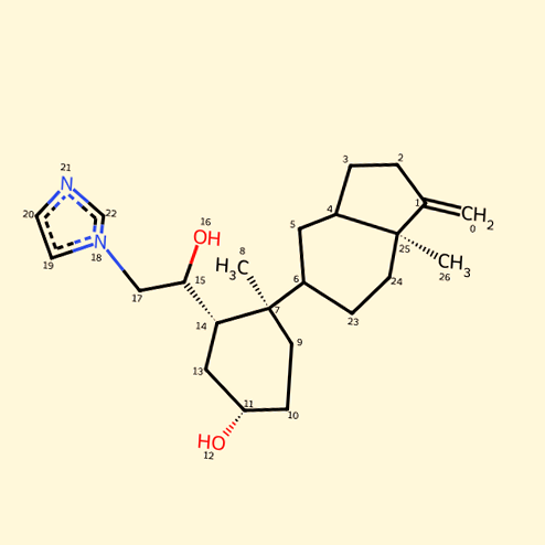 C=C1CCC2CC([C@@]3(C)CC[C@H](O)C[C@@H]3C(O)Cn3ccnc3)CC[C@]12C